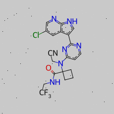 N#CCN(c1ccnc(-c2c[nH]c3ncc(Cl)cc23)n1)C1(C(=O)NCC(F)(F)F)CCC1